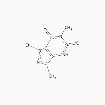 CCn1nc(C)c2[nH]c(=O)n(C)c(=O)c21